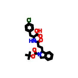 CC(C)(C)OC(=O)N1Cc2ccccc2C1CCC(=O)NC(Cc1ccc(Cl)cc1)C(=O)O